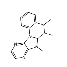 CC1c2ccccc2N2c3nccnc3N(C)C2C1C